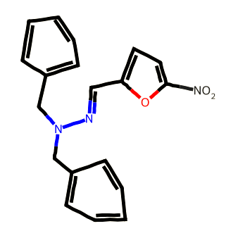 O=[N+]([O-])c1ccc(/C=N/N(Cc2ccccc2)Cc2ccccc2)o1